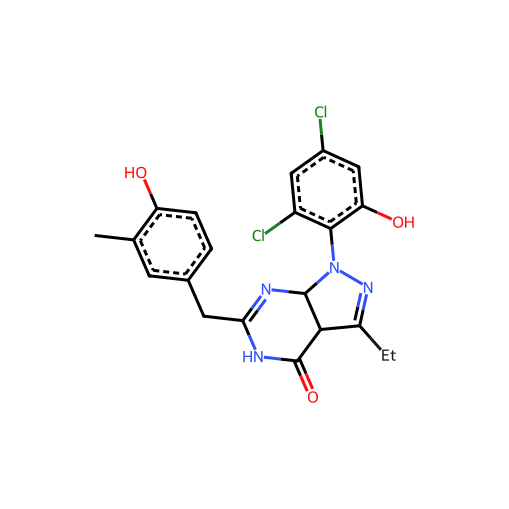 CCC1=NN(c2c(O)cc(Cl)cc2Cl)C2N=C(Cc3ccc(O)c(C)c3)NC(=O)C12